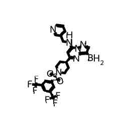 Bc1cnn2c(NCc3cccnc3)cc(C3CCN(S(=O)(=O)c4cc(C(F)(F)F)cc(C(F)(F)F)c4)CC3)nc12